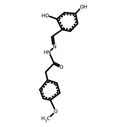 COc1ccc(CC(=O)N/N=C/c2ccc(O)cc2O)cc1